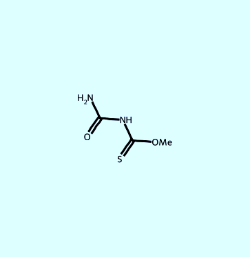 COC(=S)NC(N)=O